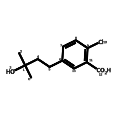 CC(C)(O)CCc1ccc(Cl)c(C(=O)O)c1